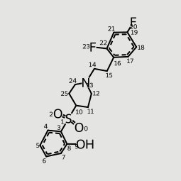 O=S(=O)(c1ccccc1O)C1CCN(CCc2ccc(F)cc2F)CC1